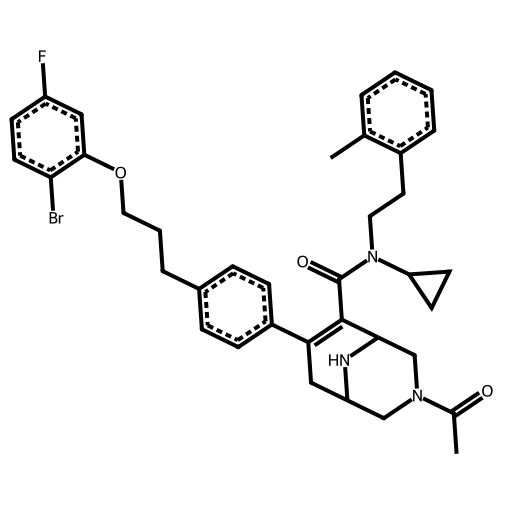 CC(=O)N1CC2CC(c3ccc(CCCOc4cc(F)ccc4Br)cc3)=C(C(=O)N(CCc3ccccc3C)C3CC3)C(C1)N2